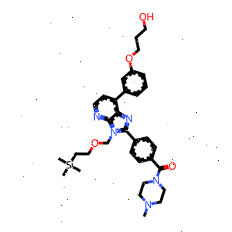 CN1CCN(C(=O)c2ccc(-c3nc4c(-c5cccc(OCCCO)c5)ccnc4n3COCC[Si](C)(C)C)cc2)CC1